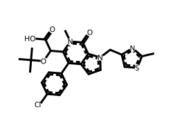 Cc1nc(Cn2ccc3c(-c4ccc(Cl)cc4)c(C(OC(C)(C)C)C(=O)O)n(C)c(=O)c32)cs1